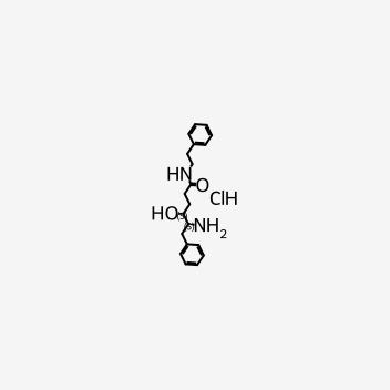 Cl.N[C@@H](Cc1ccccc1)[C@@H](O)CCC(=O)NCCc1ccccc1